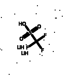 O=S(=O)(O)C(F)(F)F.[LiH].[LiH]